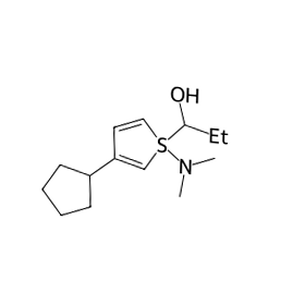 CCC(O)S1(N(C)C)C=CC(C2CCCC2)=C1